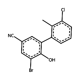 Cc1c(Cl)cccc1-c1cc(C#N)cc(Br)c1O